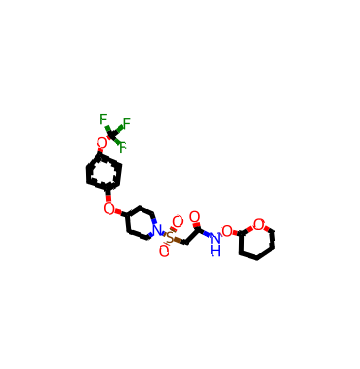 O=C(CS(=O)(=O)N1CCC(Oc2ccc(OC(F)(F)F)cc2)CC1)NOC1CCCCO1